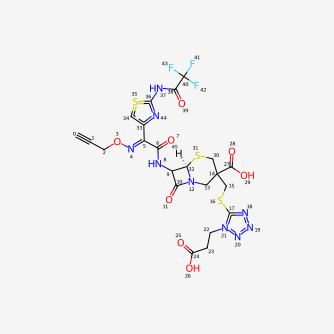 C#CCON=C(C(=O)NC1C(=O)N2CC(CSc3nnnn3CCC(=O)O)(C(=O)O)CS[C@H]12)c1csc(NC(=O)C(F)(F)F)n1